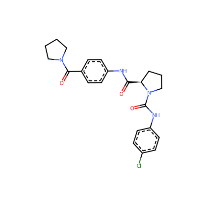 O=C(Nc1ccc(C(=O)N2CCCC2)cc1)[C@H]1CCCN1C(=O)Nc1ccc(Cl)cc1